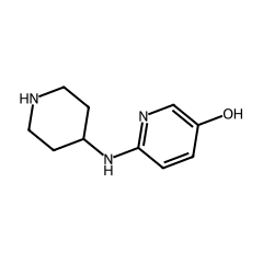 Oc1ccc(NC2CCNCC2)nc1